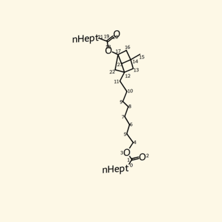 CCCCCCCC(=O)OCCCCCCCCC12CC3(C)CC(OC(=O)CCCCCCC)(C1)C32